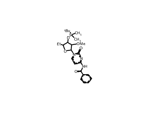 CCC1OC(n2ccc(NC(=O)c3ccccc3)nc2=O)C(OC)C1O[Si](C)(C)C(C)(C)C